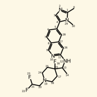 Cc1ncc(-c2ccc3cnc(NC(C)C4(F)CCN(CC(F)F)CC4)cc3c2)n1C